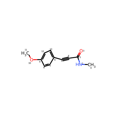 CNC(=O)C#Cc1ccc(OC)cc1